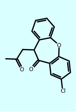 CC(=O)CC1C(=O)c2cc(Cl)ccc2Oc2ccccc21